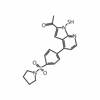 CC(=O)c1cc2c(-c3ccc(S(=O)(=O)N4CCCC4)cc3)ccnc2n1S